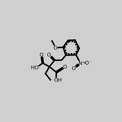 CCC(C(=O)O)(C(=O)O)C(=O)Cc1c(OC)cccc1[N+](=O)[O-]